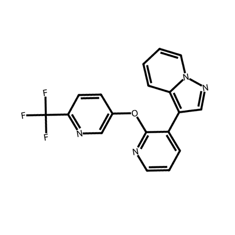 FC(F)(F)c1ccc(Oc2ncccc2-c2cnn3ccccc23)cn1